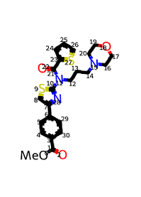 COC(=O)c1ccc(-c2csc(N(CCCN3CCOCC3)C(=O)c3cccs3)n2)cc1